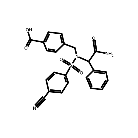 N#Cc1ccc(S(=O)(=O)N(Cc2ccc(C(=O)O)cc2)C(C(N)=O)c2ccccc2)cc1